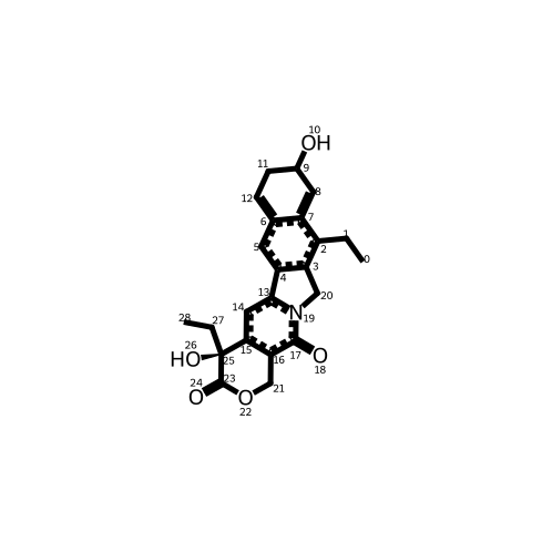 CCc1c2c(cc3c1=CC(O)CC=3)-c1cc3c(c(=O)n1C2)COC(=O)[C@]3(O)CC